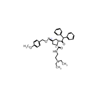 CCN(CC)CCNC(=O)[C@@H]1C/C(=N\OCc2ccc(OC)cc2)CN1C(=O)C(c1ccccc1)c1ccccc1